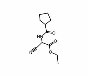 CCOC(=O)C(C#N)NC(=O)C1CCCC1